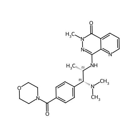 C[C@H](Nc1nn(C)c(=O)c2cccnc12)[C@@H](c1ccc(C(=O)N2CCOCC2)cc1)N(C)C